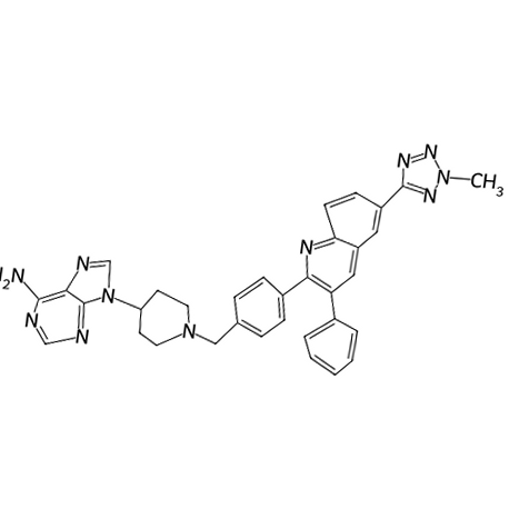 Cn1nnc(-c2ccc3nc(-c4ccc(CN5CCC(n6cnc7c(N)ncnc76)CC5)cc4)c(-c4ccccc4)cc3c2)n1